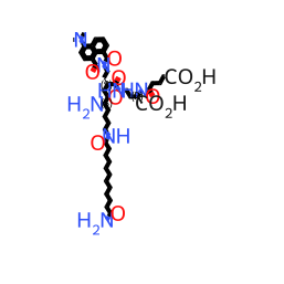 CN(C)c1ccc2c3c(cccc13)C(=O)N(CC[C@@H](CC(=O)[C@@H](N)CCCCNC(=O)CCCCCCCCCCC(N)=O)C(=O)NCC[C@@H](NC(=O)CCCC(=O)O)C(=O)O)C2=O